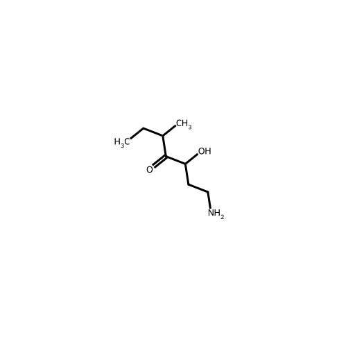 CCC(C)C(=O)C(O)CCN